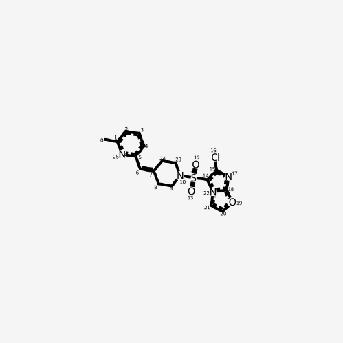 Cc1cccc(C=C2CCN(S(=O)(=O)c3c(Cl)nc4occn34)CC2)n1